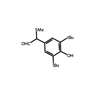 CSC(C=O)c1cc(C(C)(C)C)c(O)c(C(C)(C)C)c1